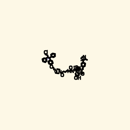 Cc1ncsc1-c1ccc(CNC(=O)[C@@H]2C[C@@H](O)CN2C(=O)[C@@H](NC(=O)CCCCC(=O)N2CCN(CCOc3ccc(/C(=C(/CCCl)c4ccccc4)c4ccccc4)cc3)CC2)C(C)(C)C)cc1